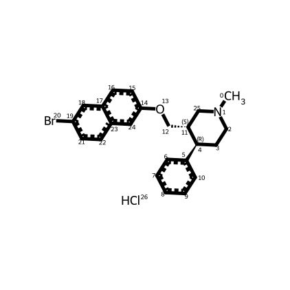 CN1CC[C@@H](c2ccccc2)[C@H](COc2ccc3cc(Br)ccc3c2)C1.Cl